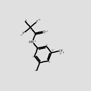 Cc1cc(NC(=O)C(C)(F)F)cc(C(F)(F)F)c1